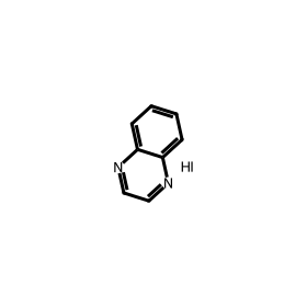 I.c1ccc2nccnc2c1